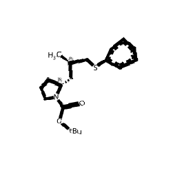 C[C@@H](CSc1ccccc1)C[C@H]1CCCN1C(=O)OC(C)(C)C